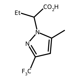 CCC(C(=O)O)n1nc(C(F)(F)F)cc1C